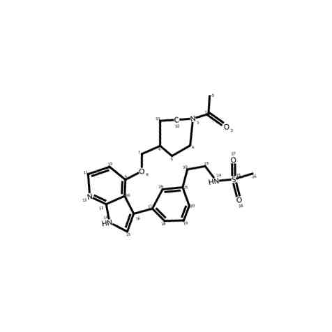 CC(=O)N1CCC(COc2ccnc3[nH]cc(-c4cccc(CCNS(C)(=O)=O)c4)c23)CC1